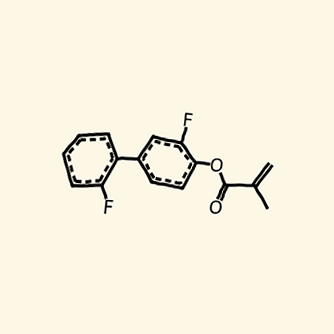 C=C(C)C(=O)Oc1ccc(-c2ccccc2F)cc1F